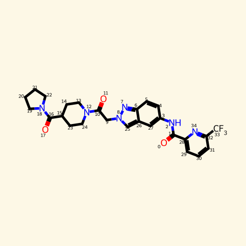 O=C(Nc1ccc2nn(CC(=O)N3CCC(C(=O)N4CCCC4)CC3)cc2c1)c1cccc(C(F)(F)F)n1